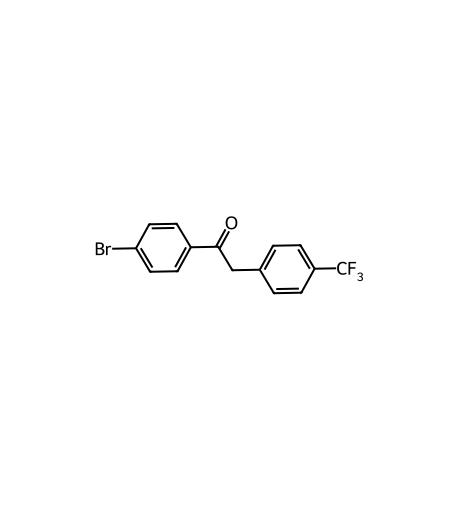 O=C(Cc1ccc(C(F)(F)F)cc1)c1ccc(Br)cc1